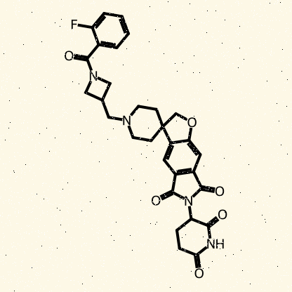 O=C1CCC(N2C(=O)c3cc4c(cc3C2=O)C2(CCN(CC3CN(C(=O)c5ccccc5F)C3)CC2)CO4)C(=O)N1